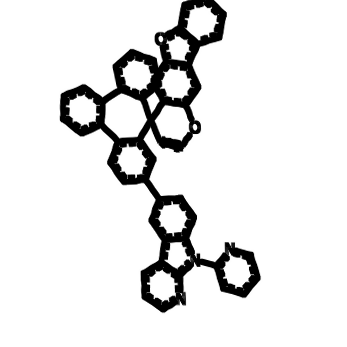 c1ccc(-n2c3ccc(-c4ccc5c(c4)C4(c6ccccc6Oc6cc7c(cc64)oc4ccccc47)c4ccccc4-c4ccccc4-5)cc3c3cccnc32)nc1